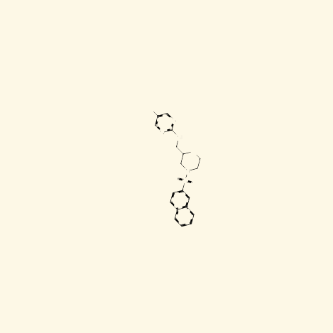 CCOC(=O)c1cnc(NCC2CN(S(=O)(=O)c3ccc4ccccc4c3)CCO2)nc1